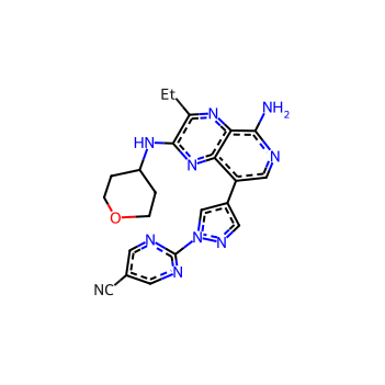 CCc1nc2c(N)ncc(-c3cnn(-c4ncc(C#N)cn4)c3)c2nc1NC1CCOCC1